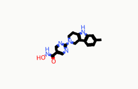 Cc1ccc2c3c([nH]c2c1)CCN(c1ncc(C(=O)NO)cn1)C3